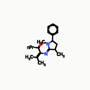 CCCC(=O)C(/N=C1/C(C)CC(c2ccccc2)N1C)=C(C)C